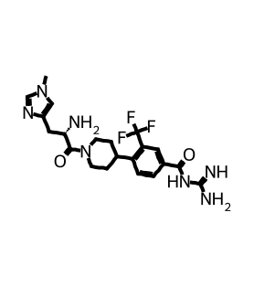 Cn1cnc(C[C@H](N)C(=O)N2CCC(c3ccc(C(=O)NC(=N)N)cc3C(F)(F)F)CC2)c1